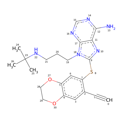 C#Cc1cc2c(cc1Sc1nc3c(N)ncnc3n1CCCNC(C)(C)C)OCCO2